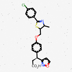 CC1N=C(c2ccc(Cl)cc2)SC1COc1ccc([C@H](CC(=O)O)c2ccon2)cc1